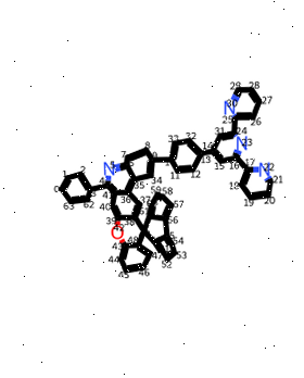 c1ccc(-c2nc3ccc(-c4ccc(-c5cc(-c6ccccn6)nc(-c6ccccn6)c5)cc4)cc3c3cc4c(cc23)Oc2ccccc2C42c3ccccc3-c3ccccc32)cc1